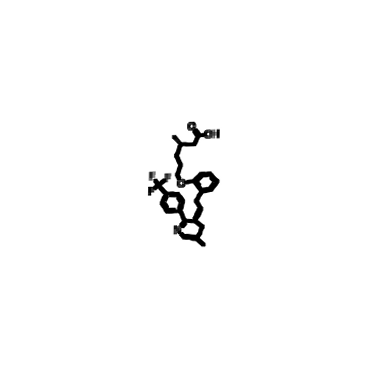 CC1=CN=C(c2ccc(C(F)(F)F)cc2)/C(=C\Cc2ccccc2OCCC[C@@H](C)CC(=O)O)C1